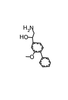 COc1cc(C(O)CN)ccc1-c1ccccc1